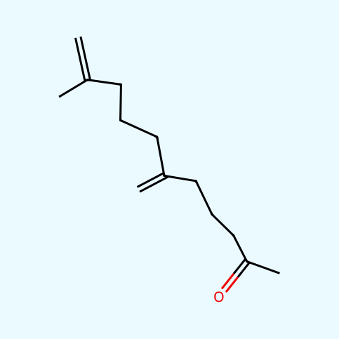 C=C(C)CCCC(=C)CCCC(C)=O